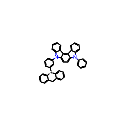 c1ccc(-n2c3ccccc3c3c4c5ccccc5n(-c5cccc(B6c7ccccc7Cc7ccccc76)c5)c4ccc32)cc1